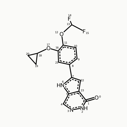 O=c1[nH]ncc2[nH]c(-c3ccc(OC(F)F)c(OC4CC4)c3)cc12